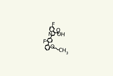 CCCCOc1ccccc1-c1ccc(-c2cc(C(=O)O)c3cc(F)ccc3n2)cc1F